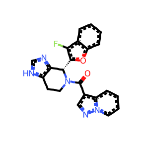 O=C(c1cnn2ccccc12)N1CCc2[nH]cnc2[C@@H]1c1oc2ccccc2c1F